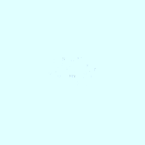 O=C(CNc1ccccc1OC(F)(F)F)Sc1ncccc1C(=O)[O-].[K+]